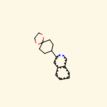 c1ccc2cc(C3CCC4(CC3)OCCO4)ncc2c1